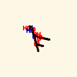 CCCCCCCCCCCOC(=O)CCCCCN(CCCCCCCC(=O)OC(CCCCCCCC)CCCCCCCC)CC(O)CCCCNC(=O)c1cn(C)c(O)n1